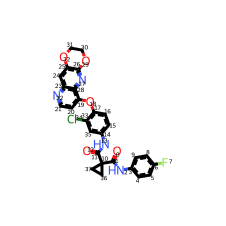 O=C(Nc1ccc(F)cc1)C1(C(=O)Nc2ccc(Oc3ccnc4cc5c(nc34)OCCO5)c(Cl)c2)CC1